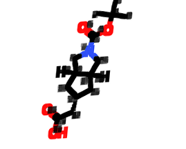 CC(C)(C)OC(=O)N1C[C@H]2C[C@@H](CC(=O)O)C[C@H]2C1